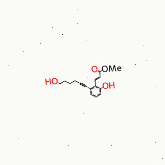 COC(=O)C=Cc1c(O)cccc1C#CCCCCO